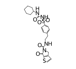 O=C(NC1CCCCC1)NS(=O)(=O)c1ccc(CCNC(=O)N2Cc3ccsc3C2=O)cc1